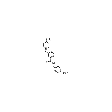 COc1ccc(CNC(=O)c2cccc(CN3CCC(C)CC3)c2)cc1